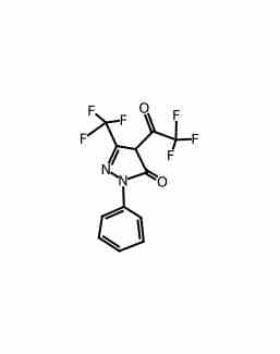 O=C1C(C(=O)C(F)(F)F)C(C(F)(F)F)=NN1c1ccccc1